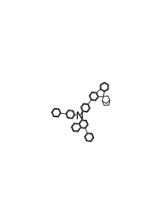 c1ccc(-c2ccc(N(c3ccc(-c4ccc5c(c4)C4(CC6CCC4C6)c4ccccc4-5)cc3)c3ccc(-c4ccccc4)c4ccccc34)cc2)cc1